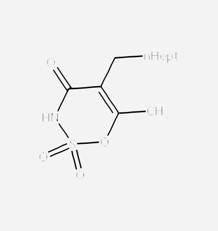 CCCCCCCCC1=C(C)OS(=O)(=O)NC1=O